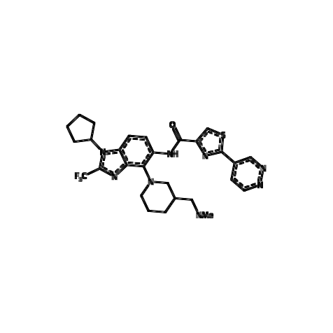 CNCC1CCCN(c2c(NC(=O)c3csc(-c4ccnnc4)n3)ccc3c2nc(C(F)(F)F)n3C2CCCC2)C1